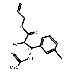 C=CCOC(=O)C(C(C)=O)[C@@H](NC(=O)OC)c1cccc(C)c1